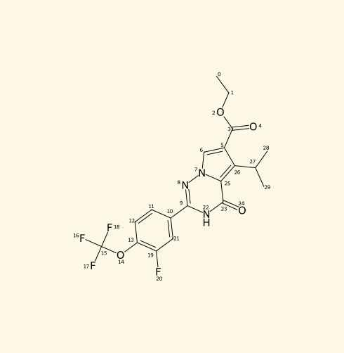 CCOC(=O)c1cn2nc(-c3ccc(OC(F)(F)F)c(F)c3)[nH]c(=O)c2c1C(C)C